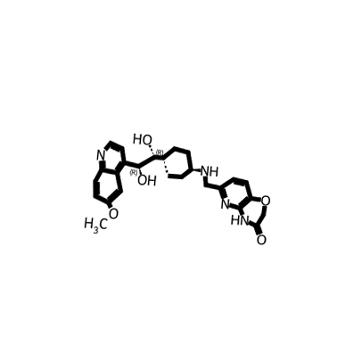 COc1ccc2nccc([C@@H](O)[C@H](O)[C@H]3CC[C@H](NCc4ccc5c(n4)NC(=O)CO5)CC3)c2c1